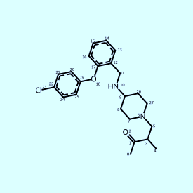 CC(=O)C(C)CN1CCC(NCc2ccccc2Oc2ccc(Cl)cc2)CC1